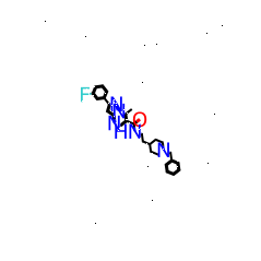 Cc1c(C(=O)NCCC2CCN(Cc3ccccc3)CC2)cnc2cc(-c3cccc(F)c3)nn12